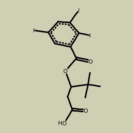 CC(C)(C)C(CC(=O)O)OC(=O)c1cc(I)cc(I)c1I